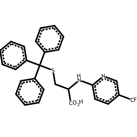 O=C(O)C(CSC(c1ccccc1)(c1ccccc1)c1ccccc1)Nc1ccc(C(F)(F)F)cn1